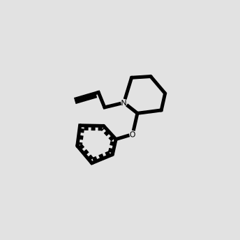 C=CCN1CCCCC1Oc1ccccc1